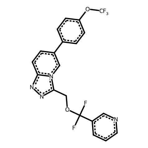 FC(F)(F)Oc1ccc(-c2ccc3nnc(COC(F)(F)c4cccnc4)n3c2)cc1